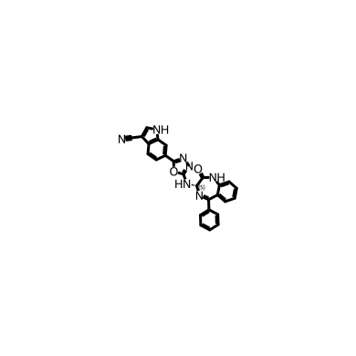 N#Cc1c[nH]c2cc(-c3nnc(N[C@H]4N=C(c5ccccc5)c5ccccc5NC4=O)o3)ccc12